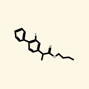 CCCCOC(=O)C(C)c1ccc(-c2ccccc2)c(F)c1